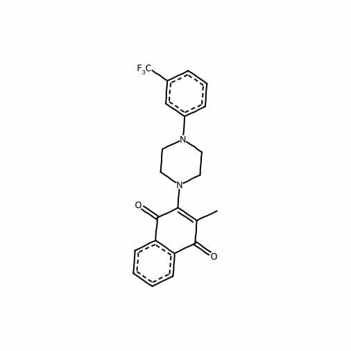 CC1=C(N2CCN(c3cccc(C(F)(F)F)c3)CC2)C(=O)c2ccccc2C1=O